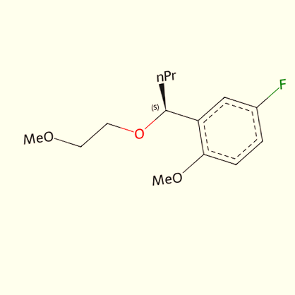 CCC[C@H](OCCOC)c1cc(F)ccc1OC